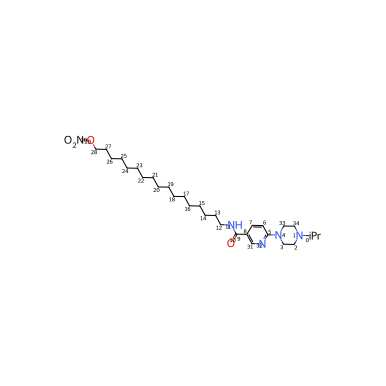 CC(C)N1CCN(c2ccc(C(=O)NCCCCCCCCCCCCCCCCCO[N+](=O)[O-])cn2)CC1